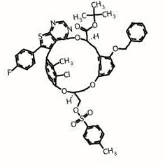 Cc1ccc(S(=O)(=O)OC[C@@H]2COc3ccc(OCc4ccccc4)c(c3)C[C@H](C(=O)OC(C)(C)C)Oc3ncnc4sc(-c5ccc(F)cc5)c(c34)-c3ccc(c(Cl)c3C)O2)cc1